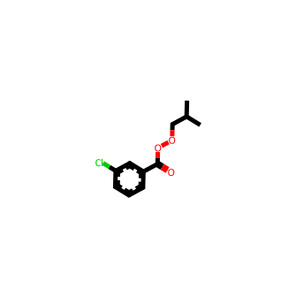 CC(C)COOC(=O)c1cccc(Cl)c1